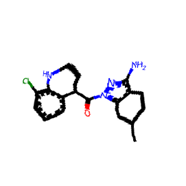 CC1CCc2c(N)nn(C(=O)C3CCNc4c(Cl)cccc43)c2C1